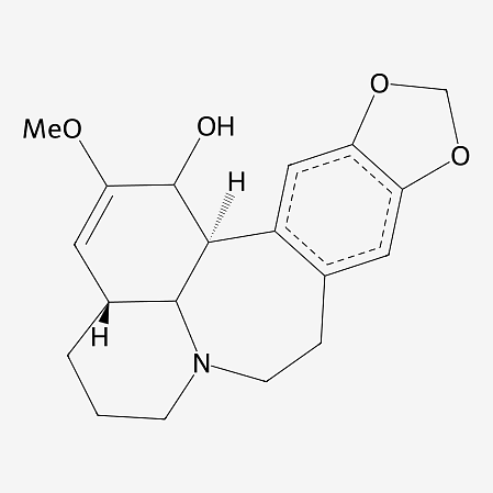 COC1=C[C@H]2CCCN3CCc4cc5c(cc4[C@H](C1O)C23)OCO5